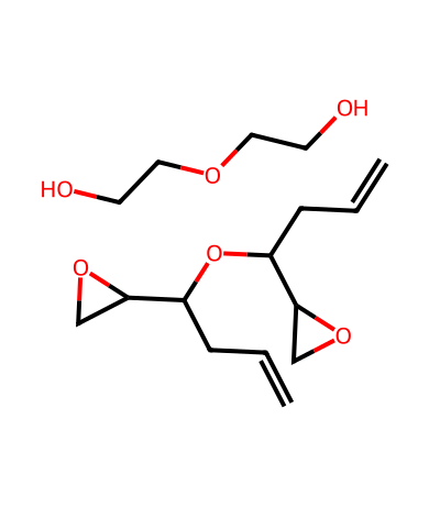 C=CCC(OC(CC=C)C1CO1)C1CO1.OCCOCCO